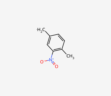 [CH2]c1ccc(C)c([N+](=O)[O-])c1